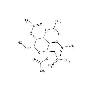 C=C(C)C[C@@]1(OC(C)=O)O[C@H](CO)[C@H](OC(C)=O)[C@H](OC(C)=O)[C@H]1OC(C)=O